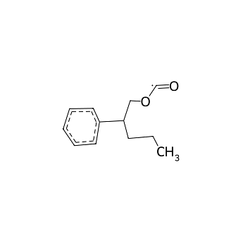 CCCC(CO[C]=O)c1ccccc1